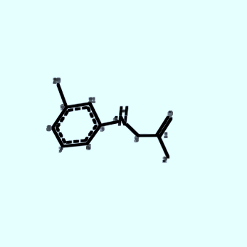 C=C(C)CNc1cccc(C)c1